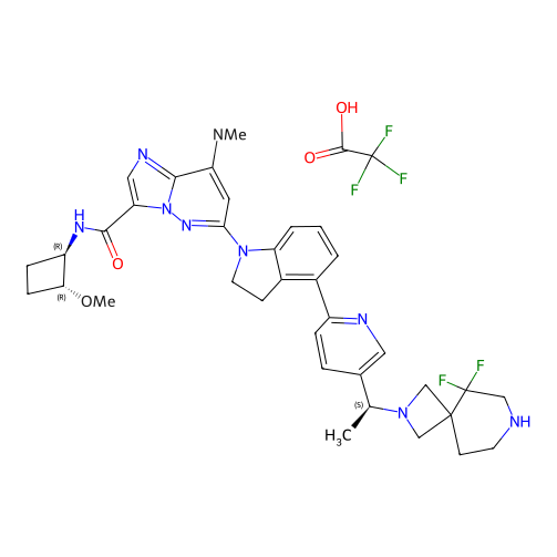 CNc1cc(N2CCc3c(-c4ccc([C@H](C)N5CC6(CCNCC6(F)F)C5)cn4)cccc32)nn2c(C(=O)N[C@@H]3CC[C@H]3OC)cnc12.O=C(O)C(F)(F)F